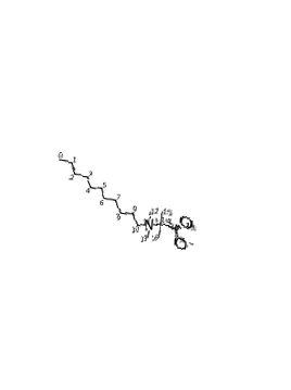 CCCCCCCCCCC[N+](C)(C)C(C)(C)C(=O)[O-]